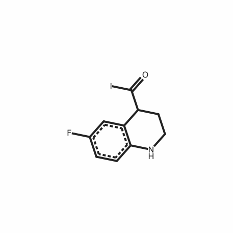 O=C(I)C1CCNc2ccc(F)cc21